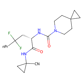 CCCC(F)(F)C[C@H](NC(=O)N1CCC2(CC1)CC2)C(=O)NC1(C#N)CC1